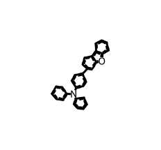 c1ccc(N(c2ccccc2)c2ccc(-c3ccc4c(c3)oc3ccccc34)cc2)cc1